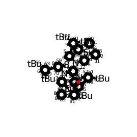 CC(C)(C)c1cc(-c2ccc3c(c2)N(c2cccc([Si](c4ccccc4)(c4ccccc4)c4ccccc4)c2)c2cc(-n4c5ccc(C(C)(C)C)cc5c5cc(C(C)(C)C)ccc54)cc4c2B3c2ccc(-c3cc(C(C)(C)C)cc(C(C)(C)C)c3)cc2N4c2cccc([Si](c3ccccc3)(c3ccccc3)c3ccccc3)c2)cc(C(C)(C)C)c1